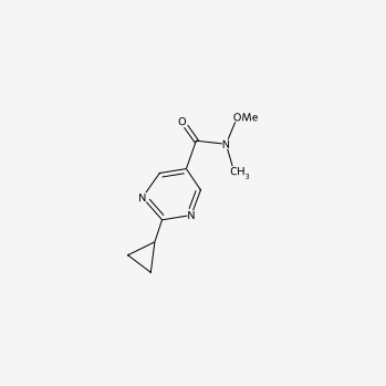 CON(C)C(=O)c1cnc(C2CC2)nc1